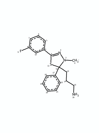 [CH2]N1N=C(c2cccc(F)c2)SC1(CCCN)c1ccccc1